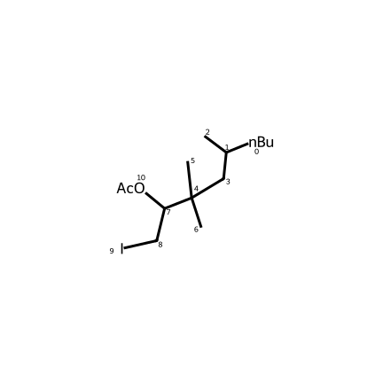 CCCCC(C)CC(C)(C)C(CI)OC(C)=O